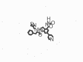 O=C(C(Cc1ccccc1)NCc1cscn1)N1CCc2c(-c3n[nH]c(=O)o3)cc(-c3ccncc3)cc21